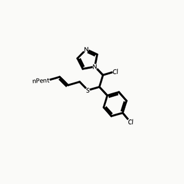 CCCCCC=CCSC(c1ccc(Cl)cc1)C(Cl)n1ccnc1